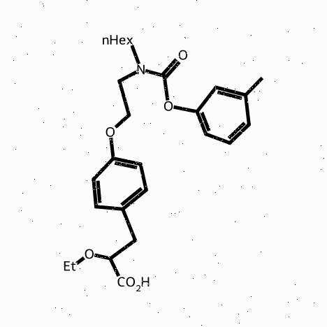 CCCCCCN(CCOc1ccc(CC(OCC)C(=O)O)cc1)C(=O)Oc1cccc(C)c1